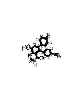 N#Cc1ccc(-c2c(-c3ccc(F)cc3)cc(O)c3nc[nH]c(=O)c23)cc1